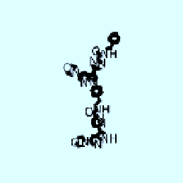 O=C(NCCc1ccc(-n2cc(-c3cnc(C(=O)NCCc4ccccc4)nc3)c3cc(N4CCOCC4)cnc32)cc1)c1ccc(-c2c[nH]c3ncc(N4CCOCC4)cc23)nn1